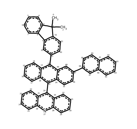 CC1(C)c2ccccc2-c2cc(-c3c4ccccc4c(-c4c5ccccc5nc5ccccc45)c4ccc(-c5ccc6ccccc6c5)cc34)ccc21